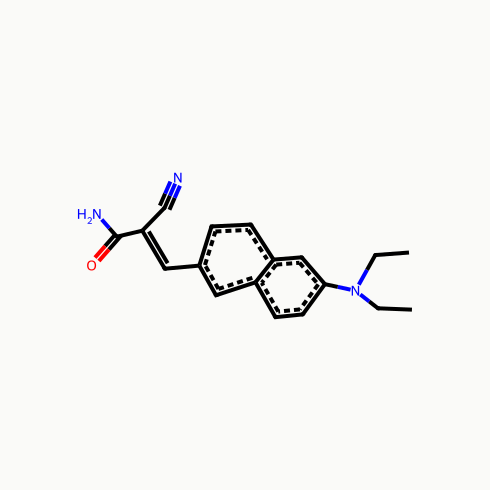 CCN(CC)c1ccc2cc(/C=C(\C#N)C(N)=O)ccc2c1